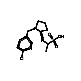 CC(N=C1CCCN1Cc1ccc(Cl)nc1)S(=O)(=O)O